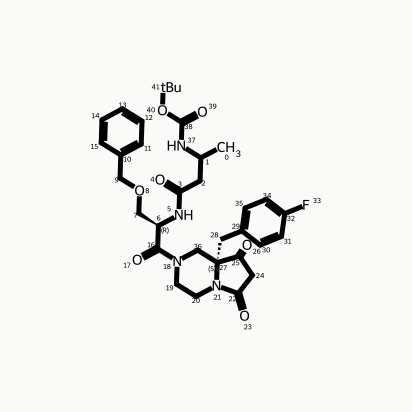 CC(CC(=O)N[C@H](COCc1ccccc1)C(=O)N1CCN2C(=O)CC(=O)[C@]2(Cc2ccc(F)cc2)C1)NC(=O)OC(C)(C)C